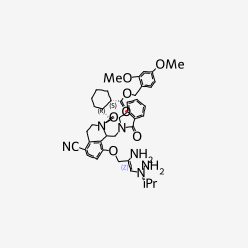 COc1ccc(COC(=O)[C@H]2CCCC[C@H]2C(=O)N2CCc3c(C#N)ccc(OC/C(N)=C/N(N)C(C)C)c3C2CN2Cc3ccccc3C2=O)c(OC)c1